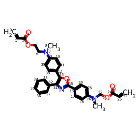 C=CC(=O)OCCN(C)c1ccc(-c2oc(-c3ccc(N(C)COC(=O)C=C)cc3)nc2-c2ccccc2)cc1